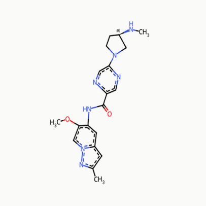 CN[C@@H]1CCN(c2cnc(C(=O)Nc3cc4cc(C)nn4cc3OC)cn2)C1